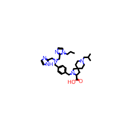 CCCn1ccnc1CN(Cc1ccc(CN2CC3(CCN(CC(C)C)CC3)CC2C(=O)O)cc1)Cc1ncc[nH]1